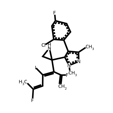 C=C(F)/C(=C(I)\C=C(/C)F)C1(c2c(-c3ccc(F)cc3Cl)c(C)nn2C)CN1